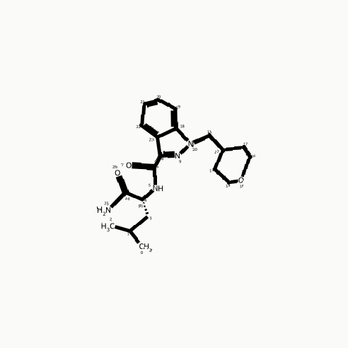 CC(C)C[C@@H](NC(=O)c1nn(CC2CCOCC2)c2ccccc12)C(N)=O